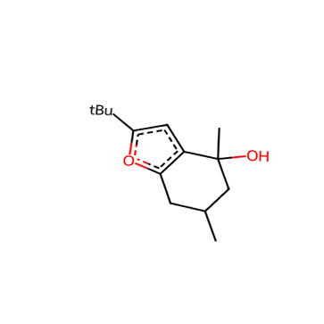 CC1Cc2oc(C(C)(C)C)cc2C(C)(O)C1